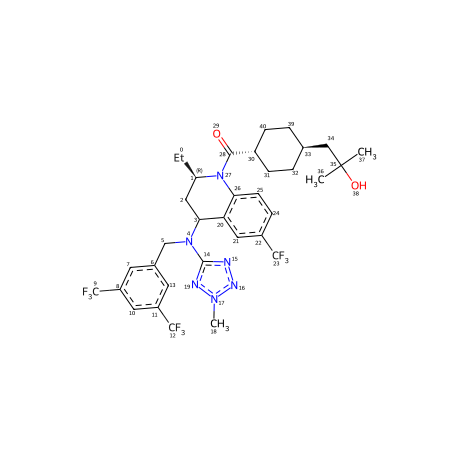 CC[C@@H]1CC(N(Cc2cc(C(F)(F)F)cc(C(F)(F)F)c2)c2nnn(C)n2)c2cc(C(F)(F)F)ccc2N1C(=O)[C@H]1CC[C@H](CC(C)(C)O)CC1